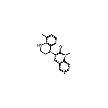 Cc1cccc2c1NCCN2c1cc2cncnc2n(C)c1=O